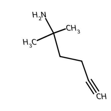 C#CCCC(C)(C)N